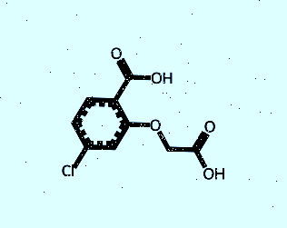 O=C(O)COc1cc(Cl)ccc1C(=O)O